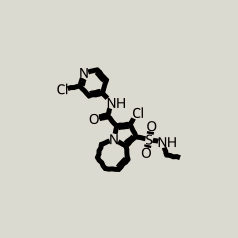 CCNS(=O)(=O)c1c(Cl)c(C(=O)Nc2ccnc(Cl)c2)n2c1C=CCCC2